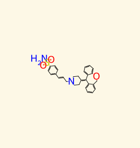 NS(=O)(=O)c1ccc(/C=C/CN2CCC(=C3c4ccccc4COc4ccccc43)CC2)cc1